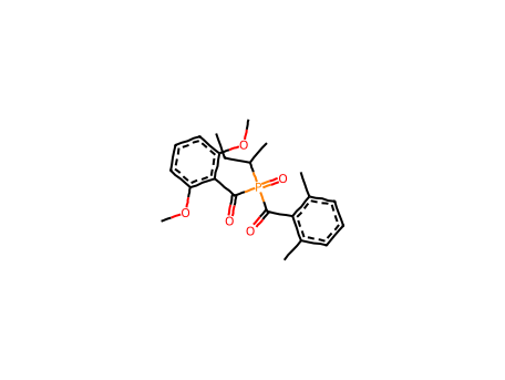 CCC(C)P(=O)(C(=O)c1c(C)cccc1C)C(=O)c1c(OC)cccc1OC